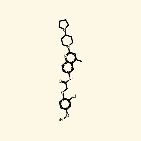 Cc1cc(N2CCC(N3CCCC3)CC2)nc2ccc(NC(=O)COc3ccc(OC(C)C)cc3Cl)cc12